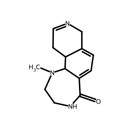 CN1CCNC(=O)C2=CC=C3CN=CCC3C21